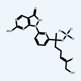 CC[Si](CC)(CC)OC(C)(CC/C=C(\F)CO)c1cccc(-n2[nH]c(=O)c3cnc(SC)nc32)n1